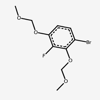 COCOc1ccc(Br)c(OCOC)c1F